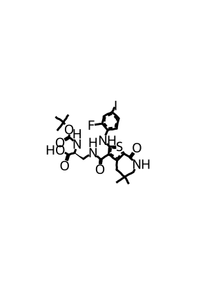 CC1(C)CNC(=O)c2sc(Nc3ccc(I)cc3F)c(C(=O)NC[C@H](NC(=O)OC(C)(C)C)C(=O)O)c2C1